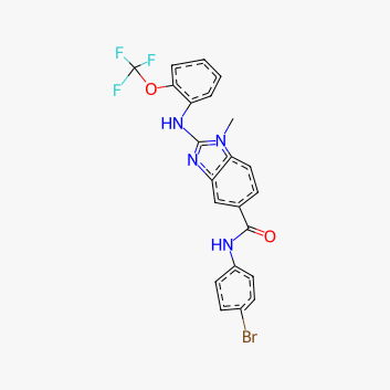 Cn1c(Nc2ccccc2OC(F)(F)F)nc2cc(C(=O)Nc3ccc(Br)cc3)ccc21